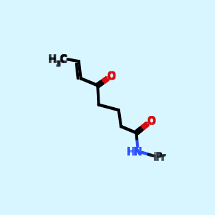 C/C=C/C(=O)CCCC(=O)NC(C)C